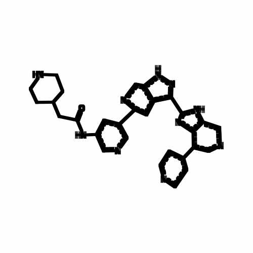 O=C(CC1CCNCC1)Nc1cncc(-c2cc3c(-c4nc5c(-c6ccncc6)cncc5[nH]4)n[nH]c3cn2)c1